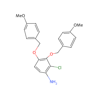 COc1ccc(COc2ccc(N)c(Cl)c2OCc2ccc(OC)cc2)cc1